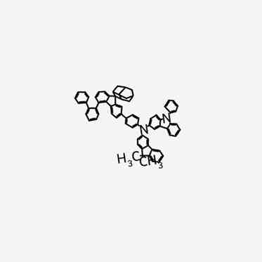 CC1(C)c2ccccc2-c2cc(N(c3ccc(-c4ccc5c(c4)C4(c6cccc(-c7ccccc7-c7ccccc7)c6-5)C5CC6CC(C5)CC4C6)cc3)c3ccc4c(c3)c3ccccc3n4-c3ccccc3)ccc21